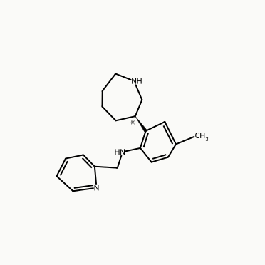 Cc1ccc(NCc2ccccn2)c([C@H]2CCCCNC2)c1